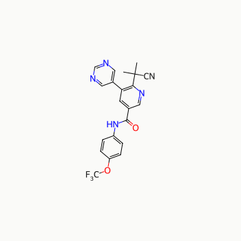 CC(C)(C#N)c1ncc(C(=O)Nc2ccc(OC(F)(F)F)cc2)cc1-c1cncnc1